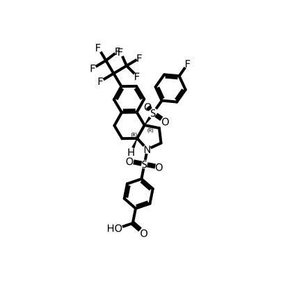 O=C(O)c1ccc(S(=O)(=O)N2CC[C@@]3(S(=O)(=O)c4ccc(F)cc4)c4ccc(C(F)(C(F)(F)F)C(F)(F)F)cc4CC[C@@H]23)cc1